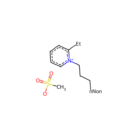 CCCCCCCCCCCC[n+]1ccccc1CC.CS(=O)(=O)[O-]